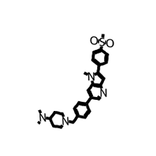 CN(C)C1CCN(Cc2ccc(-c3cnc4cc(-c5ccc(S(C)(=O)=O)cc5)n(C)c4c3)cc2)CC1